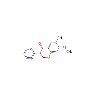 COC1C=C2OCC(c3ccccn3)C(=O)C2=CC1C